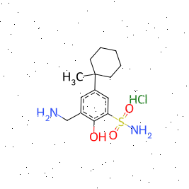 CC1(c2cc(CN)c(O)c(S(N)(=O)=O)c2)CCCCC1.Cl